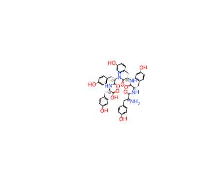 N[C@@H](Cc1ccc(O)cc1)C(=O)N[C@@H](Cc1ccc(O)cc1)C(=O)N[C@@H](Cc1ccc(O)cc1)C(=O)N[C@@H](Cc1ccc(O)cc1)C(=O)N[C@@H](Cc1ccc(O)cc1)C(=O)O